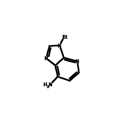 CCn1cnc2c(N)ccnc21